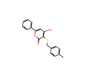 Cc1ccc(CSc2c(O)cc(-c3ccccc3)oc2=O)cc1